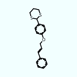 C(=Cc1ccccc1)COc1ccc(C2SCCCS2)cc1